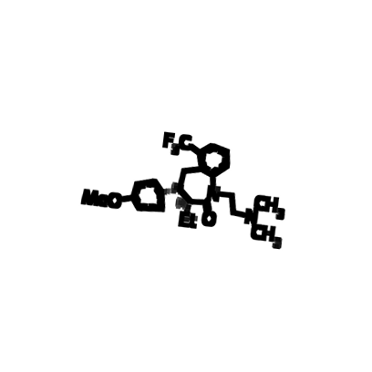 CC[C@H]1C(=O)N(CCN(C)C)c2cccc(C(F)(F)F)c2C[C@H]1c1ccc(OC)cc1